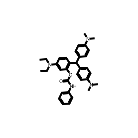 CCN(CC)c1ccc(C(c2ccc(N(C)C)cc2)c2ccc(N(C)C)cc2)c(OC(=O)Nc2ccccc2)c1